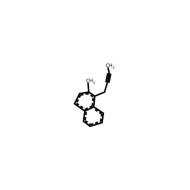 [CH2]C#CCc1c(C)ccc2ccccc12